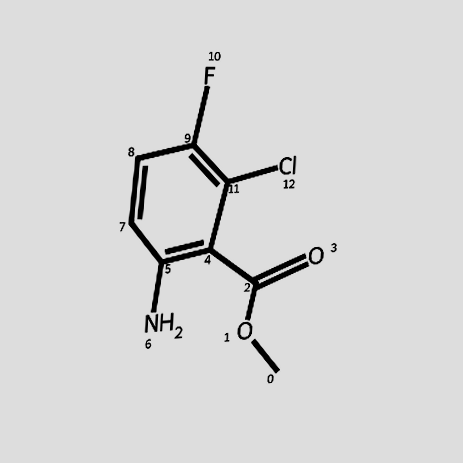 COC(=O)c1c(N)ccc(F)c1Cl